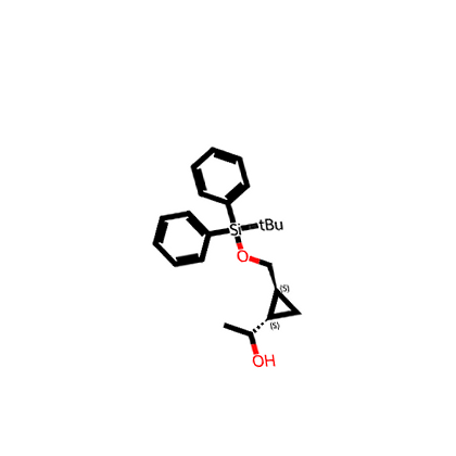 CC(O)[C@H]1C[C@@H]1CO[Si](c1ccccc1)(c1ccccc1)C(C)(C)C